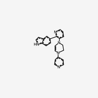 C1=CN(c2cccnc2-c2ccc3[nH]ccc3c2)CCN1c1ccncc1